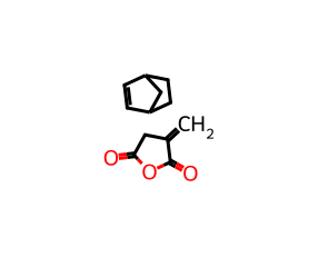 C1=CC2CCC1C2.C=C1CC(=O)OC1=O